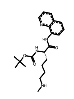 CNCCCC[C@H](NC(=O)OC(C)(C)C)C(=O)Nc1cccc2cccnc12